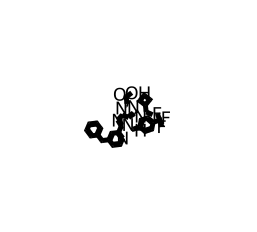 CC(Nc1nc(C(=O)O)nc2nc(-c3cc(Cc4ccccc4)ccn3)n(Cc3ccc(C(F)(F)F)cc3)c12)C1CCC1